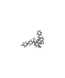 CN1CCN(c2ccc(Nc3ncc(Br)c(Nc4cccn(Cc5ccccc5)c4=O)n3)cc2)CC1